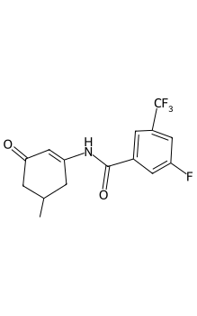 CC1CC(=O)C=C(NC(=O)c2cc(F)cc(C(F)(F)F)c2)C1